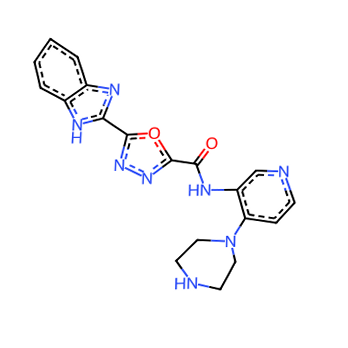 O=C(Nc1cnccc1N1CCNCC1)c1nnc(-c2nc3ccccc3[nH]2)o1